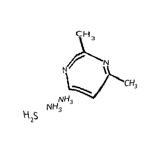 Cc1ccnc(C)n1.N.N.S